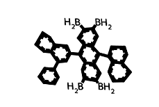 Bc1cc2c(-c3cc(-c4ccccc4)c4ccccc4c3)c3cc(B)c(B)cc3c(-c3cccc4ccccc34)c2cc1B